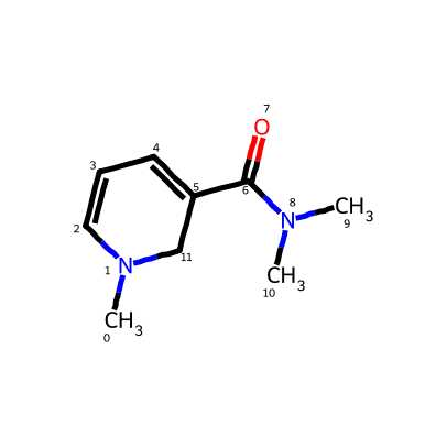 CN1C=CC=C(C(=O)N(C)C)C1